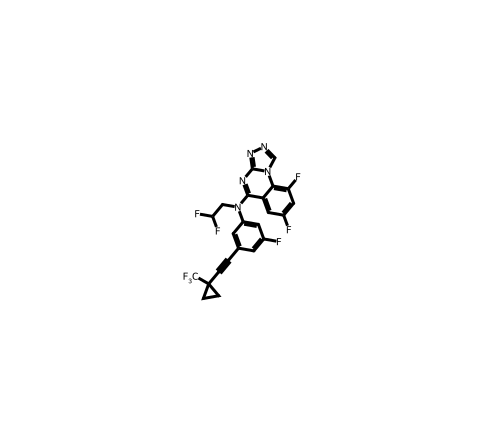 Fc1cc(C#CC2(C(F)(F)F)CC2)cc(N(CC(F)F)c2nc3nncn3c3c(F)cc(F)cc23)c1